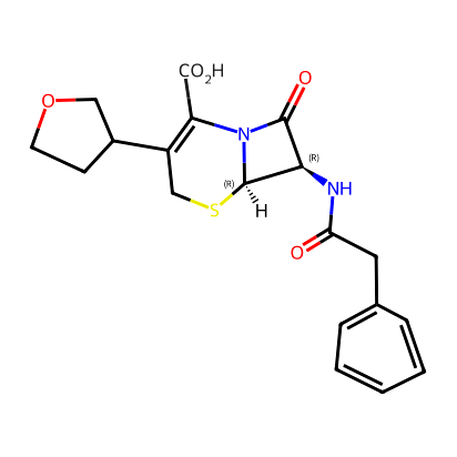 O=C(Cc1ccccc1)N[C@@H]1C(=O)N2C(C(=O)O)=C(C3CCOC3)CS[C@H]12